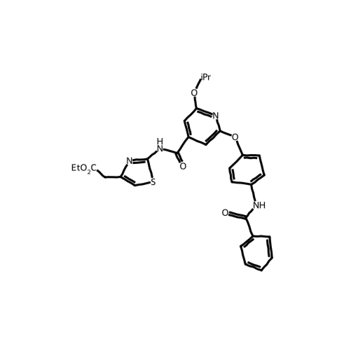 CCOC(=O)Cc1csc(NC(=O)c2cc(Oc3ccc(NC(=O)c4ccccc4)cc3)nc(OC(C)C)c2)n1